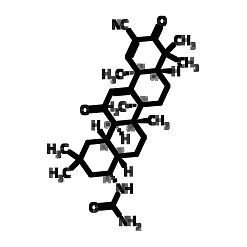 CC1(C)C[C@H]2[C@H](CC[C@]3(C)[C@@H]2C(=O)C=C2[C@@]4(C)C=C(C#N)C(=O)C(C)(C)[C@@H]4CC[C@]23C)[C@H](NC(N)=O)C1